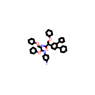 O=C(NC(=COc1ccccc1)C(=Nc1ccc(I)cc1)Oc1ccccc1)C(=COc1ccccc1)c1ccc(-c2ccccc2)c(-c2ccccc2)c1